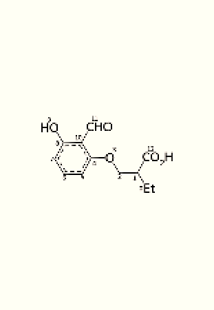 CCC(COc1cccc(O)c1C=O)C(=O)O